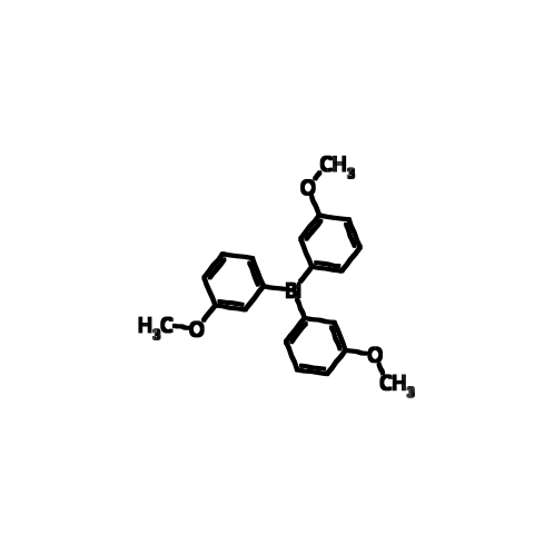 COc1ccc[c]([Bi]([c]2cccc(OC)c2)[c]2cccc(OC)c2)c1